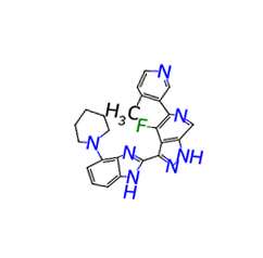 Cc1ccncc1-c1ncc2[nH]nc(-c3nc4c(N5CCCCC5)cccc4[nH]3)c2c1F